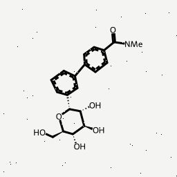 CNC(=O)c1ccc(-c2cccc([C@H]3O[C@H](CO)[C@@H](O)[C@H](O)[C@H]3O)c2)cc1